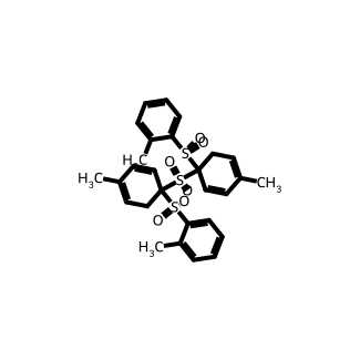 CC1=CCC(S(=O)(=O)c2ccccc2C)(S(=O)(=O)C2(S(=O)(=O)c3ccccc3C)C=CC(C)=CC2)C=C1